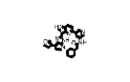 O=C(CC1CCCCC1)Nc1cncc(-c2ccc3[nH]nc(-c4nc5c(-c6ccoc6)ccnc5[nH]4)c3n2)c1